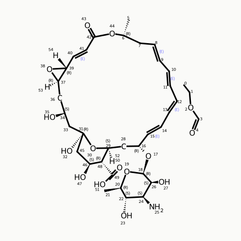 CCOC=O.C[C@@H]1C/C=C/C=C/C=C/C=C/[C@H](O[C@@H]2O[C@H](C)[C@@H](O)[C@H](N)[C@@H]2O)C[C@@H]2O[C@](O)(C[C@@H](O)C[C@H]3O[C@@H]3/C=C/C(=O)O1)C[C@H](O)[C@H]2C(=O)O